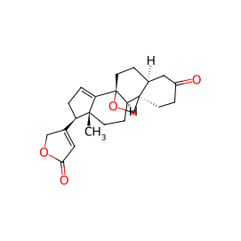 C[C@]12CC[C@@H]3[C@@]45CCC(=O)C[C@@H]4CC[C@@]3(OC5)C1=CC[C@@H]2C1=CC(=O)OC1